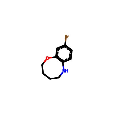 Brc1ccc2c(c1)OCCCCN2